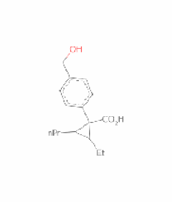 CCCC1C(CC)C1(C(=O)O)c1ccc(CO)cc1